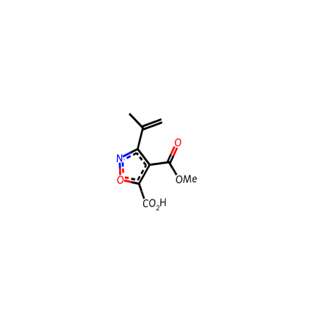 C=C(C)c1noc(C(=O)O)c1C(=O)OC